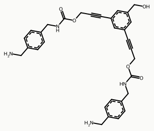 NCc1ccc(CNC(=O)OCC#Cc2cc(C#CCOC(=O)NCc3ccc(CN)cc3)cc(CO)c2)cc1